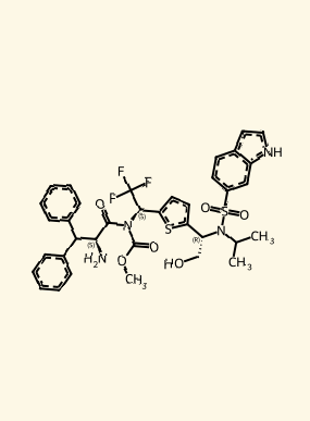 COC(=O)N(C(=O)[C@@H](N)C(c1ccccc1)c1ccccc1)[C@H](c1ccc([C@@H](CO)N(C(C)C)S(=O)(=O)c2ccc3cc[nH]c3c2)s1)C(F)(F)F